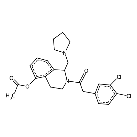 CC(=O)Oc1cccc2c1CCN(C(=O)Cc1ccc(Cl)c(Cl)c1)C2CN1CCCC1